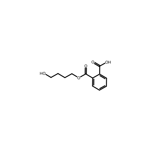 O=C(O)c1ccccc1C(=O)OCCCCO